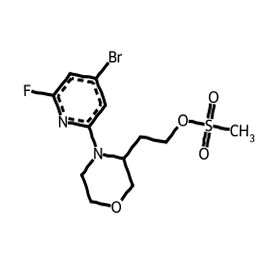 CS(=O)(=O)OCCC1COCCN1c1cc(Br)cc(F)n1